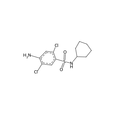 Nc1cc(Cl)c(S(=O)(=O)NC2CCCCC2)cc1Cl